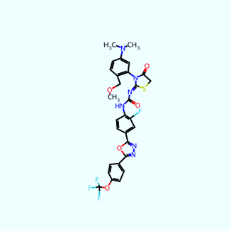 COCc1ccc(N(C)C)cc1N1C(=O)CS/C1=N\C(=O)Nc1ccc(-c2nnc(-c3ccc(OC(F)(F)F)cc3)o2)cc1F